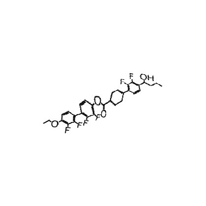 CCCC(O)c1ccc(C2=CCC(C(=O)Oc3ccc(-c4ccc(OCC)c(F)c4F)c(F)c3F)CC2)c(F)c1F